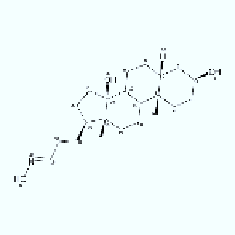 C[C@]12CC[C@H](O)C[C@H]1CCC1C2CC[C@]2(C)[C@@H](CC/C=N/O)CC[C@]12O